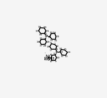 C1CCC(P(C2CCCCC2)C2CCCCC2)CC1.C1CCC(P(C2CCCCC2)C2CCCCC2)CC1.O=[N+]([O-])[O-].[PdH+]